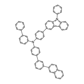 c1ccc(-c2cccc(N(c3ccc(-c4cccc(-c5ccc6ccccc6c5)c4)cc3)c3ccc(-c4ccc5c(c4)c4ccccc4n5-c4ccccc4)cc3)c2)cc1